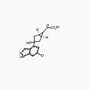 CCOC(=O)NC1[C@H]2CC(O)(c3cc(Cl)cc4[nH]ncc34)C[C@@H]12